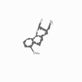 COc1cccc2c1ccc1cc(C(C)C)c(=O)oc12